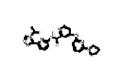 CC(C)n1cnnc1-c1cccc(NC(=O)c2cc(Oc3cccc(N4CCCC4)n3)ccn2)n1